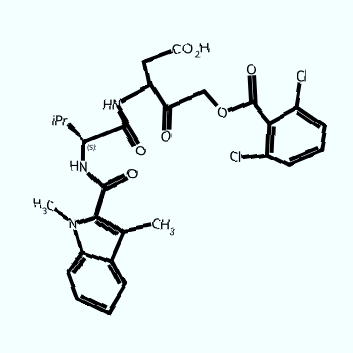 Cc1c(C(=O)N[C@H](C(=O)NC(CC(=O)O)C(=O)COC(=O)c2c(Cl)cccc2Cl)C(C)C)n(C)c2ccccc12